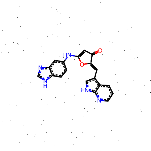 O=C1C=C(Nc2ccc3[nH]cnc3c2)O/C1=C\c1c[nH]c2ncccc12